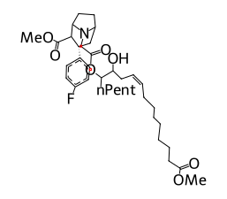 CCCCCC(OC(=O)CN1C2CCC1C(C(=O)OC)[C@@H](c1ccc(F)cc1)C2)C(O)C/C=C\CCCCCCCC(=O)OC